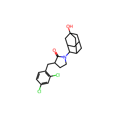 O=C1C(Cc2ccc(Cl)cc2Cl)CCN1C1C2CC3CC1CC(O)(C3)C2